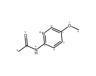 COc1ccc(NC(C)=O)nc1